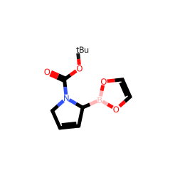 CC(C)(C)OC(=O)N1CC=CC1B1OC=CO1